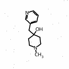 CN1CCC(O)(Cc2cccnc2)CC1